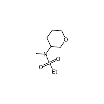 CCS(=O)(=O)N(C)C1CCCOC1